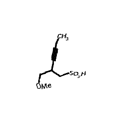 CC#CC(COC)CS(=O)(=O)O